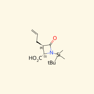 C=CC[C@H]1C(=O)N([Si](C)(C)C(C)(C)C)[C@@H]1C(=O)O